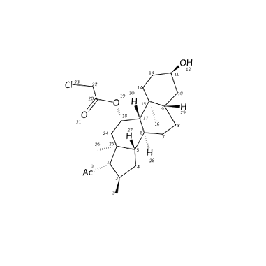 CC(=O)[C@H]1[C@H](C)C[C@H]2[C@@H]3CC[C@H]4C[C@H](O)CC[C@]4(C)[C@H]3[C@@H](OC(=O)CCl)C[C@@]21C